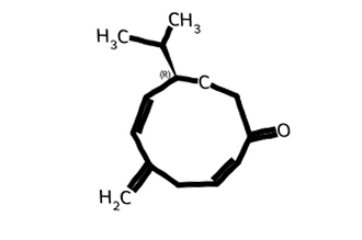 C=C1C=C[C@@H](C(C)C)CCC(=O)C=CC1